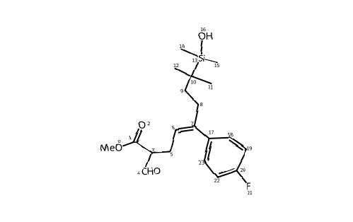 COC(=O)C(C=O)C/C=C(/CCC(C)(C)[Si](C)(C)O)c1ccc(F)cc1